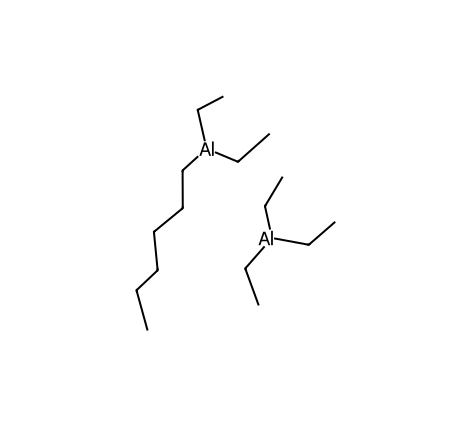 CCCCC[CH2][Al]([CH2]C)[CH2]C.C[CH2][Al]([CH2]C)[CH2]C